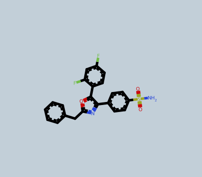 NS(=O)(=O)c1ccc(-c2nc(Cc3ccccc3)oc2-c2ccc(F)cc2F)cc1